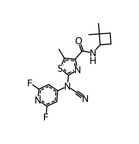 Cc1sc(N(C#N)c2cc(F)nc(F)c2)nc1C(=O)NC1CCC1(C)C